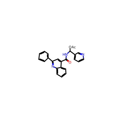 CC(=O)OC(NC(=O)c1cc(-c2ccccc2)nc2ccccc12)c1cccnc1